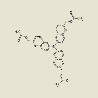 CC(=O)OCc1ccc2cc(N(c3ccc4nc(COC(C)=O)ccc4c3)c3ccc4nc(COC(C)=O)ccc4c3)ccc2c1